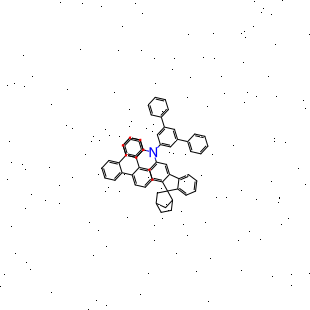 c1ccc(-c2cc(-c3ccccc3)cc(N(c3ccc4c(c3)-c3ccccc3C43CC4CCC3C4)c3ccccc3-c3ccccc3-c3ccccc3-c3ccccc3)c2)cc1